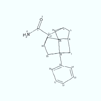 NC(=O)C1C2CC3CC4(c5ccccc5)CC1CC34C2